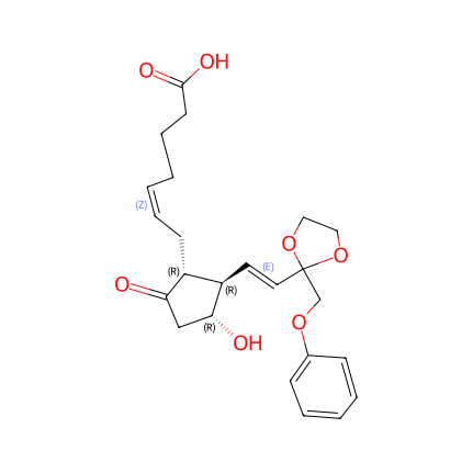 O=C(O)CCC/C=C\C[C@H]1C(=O)C[C@@H](O)[C@@H]1/C=C/C1(COc2ccccc2)OCCO1